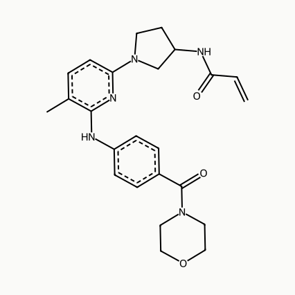 C=CC(=O)NC1CCN(c2ccc(C)c(Nc3ccc(C(=O)N4CCOCC4)cc3)n2)C1